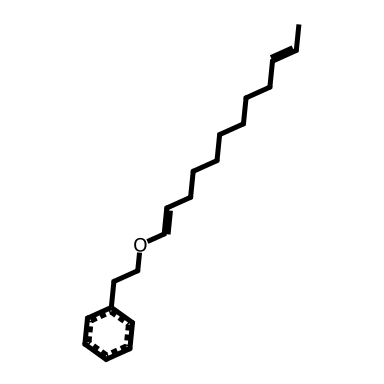 CC=CCCCCCCCC=COCCc1ccccc1